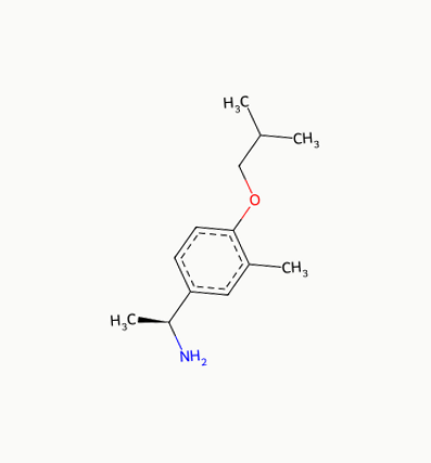 Cc1cc([C@H](C)N)ccc1OCC(C)C